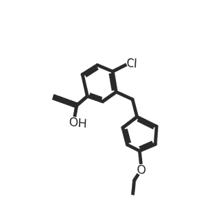 C=C(O)c1ccc(Cl)c(Cc2ccc(OCC)cc2)c1